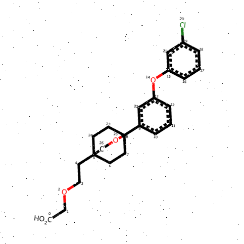 O=C(O)COCCC12CCC(c3cccc(Oc4cccc(Cl)c4)c3)(CC1)OC2